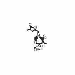 CCC(C)CNc1ncn(CC2=NC(C)C(=O)O2)c(=O)c1C